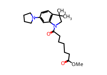 COC(=O)CCCCCC(=O)N1CC(C)(C)c2ccc(N3CCCC3)cc21